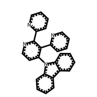 c1ccc(-c2nccc(-n3c4ccccc4c4ccccc43)c2-c2ccccn2)nc1